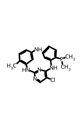 Cc1ccc(N)cc1Nc1ncc(Cl)c(Nc2ccccc2P(C)C)n1